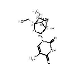 Cc1cn([C@@H]2O[C@@]3(CO)[C@H](C)O[C@@H]2[C@@H]3O)c(=O)[nH]c1=O